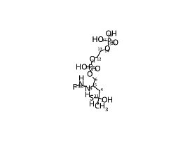 CC(O)(S)CC(COP(=O)(O)OCCOP(=O)(O)O)NNF